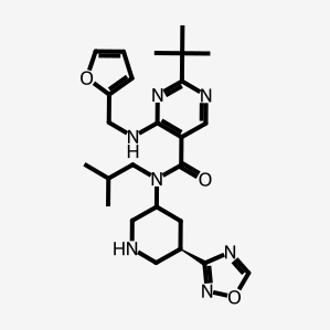 CC(C)CN(C(=O)c1cnc(C(C)(C)C)nc1NCc1ccco1)C1CNC[C@H](c2ncon2)C1